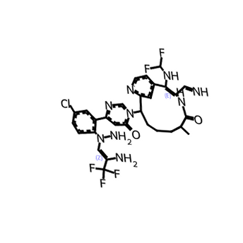 CC1CCCC(n2cnc(-c3cc(Cl)ccc3N(N)/C=C(\N)C(F)(F)F)cc2=O)c2cc(ccn2)/C(NC(F)F)=C(/C=N)NC1=O